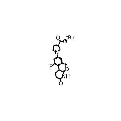 CC(C)(C)OC(=O)[C@@H]1CCN(c2cc(F)c(C3CCC(=O)NC3=O)c(F)c2)C1